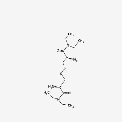 CCN(CC)C(=O)[C@@H](N)CSSC[C@H](N)C(=O)N(CC)CC